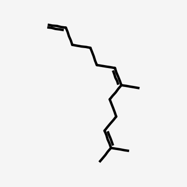 C=CCCCC=C(C)CCC=C(C)C